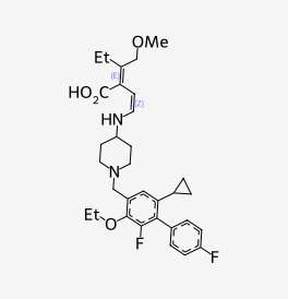 CCOc1c(CN2CCC(N/C=C\C(C(=O)O)=C(\CC)COC)CC2)cc(C2CC2)c(-c2ccc(F)cc2)c1F